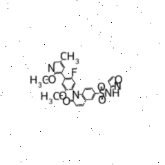 COc1cc(-c2cc(C)cnc2OC)c(F)cc1-n1c(=O)ccc2cc(S(=O)(=O)Nc3ccon3)ccc21